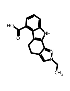 CCn1cc2c(n1)-c1[nH]c3cccc(C(=O)O)c3c1CC2